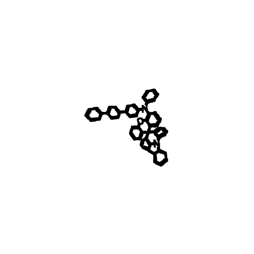 c1ccc(-c2ccc(-c3ccc(N(c4ccccc4)c4cccc5c4Oc4ccccc4C54c5ccccc5-n5c6ccccc6c6cccc4c65)cc3)cc2)cc1